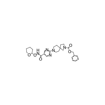 O=C(NOC1CCCCO1)c1cnc(N2CCC3(CCN(C(=O)OCc4ccccc4)C3)CC2)nc1